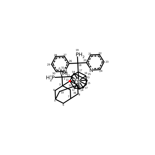 CC(C)(C)C(P)(C12CC3CC(CC(C3)C1)C2)[C]12[CH]3[CH]4[CH]5[C]1(C(P)(c1ccccn1)c1ccccn1)[Fe]45321678[CH]2[CH]1[CH]6[CH]7[CH]28